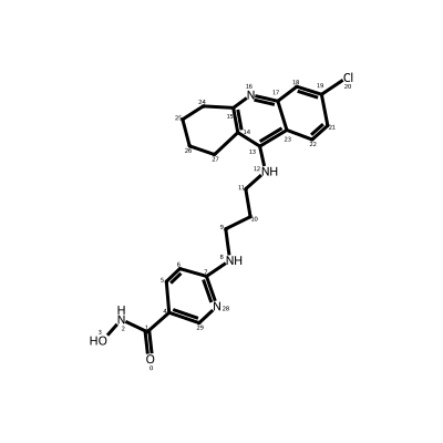 O=C(NO)c1ccc(NCCCNc2c3c(nc4cc(Cl)ccc24)CCCC3)nc1